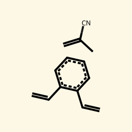 C=C(C)C#N.C=Cc1ccccc1C=C